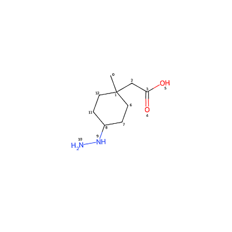 CC1(CC(=O)O)CCC(NN)CC1